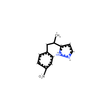 CC(Cc1ccc([N+](=O)[O-])cc1)c1ccn[nH]1